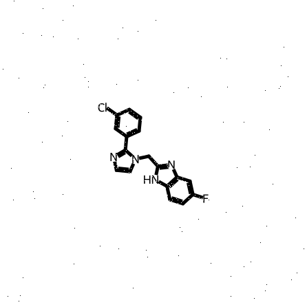 Fc1ccc2[nH]c(Cn3ccnc3-c3cccc(Cl)c3)nc2c1